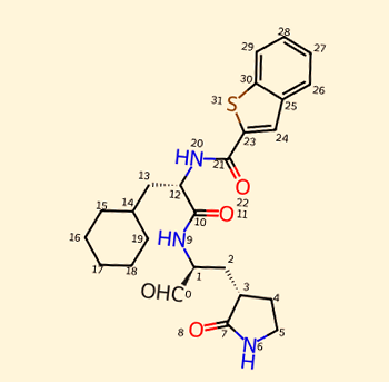 O=C[C@H](C[C@@H]1CCNC1=O)NC(=O)[C@H](CC1CCCCC1)NC(=O)c1cc2ccccc2s1